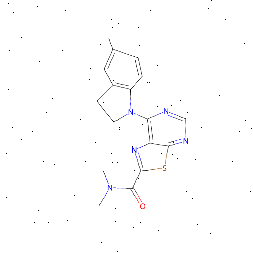 Cc1ccc2c(c1)CCN2c1ncnc2sc(C(=O)N(C)C)nc12